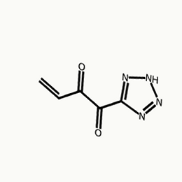 C=CC(=O)C(=O)c1nn[nH]n1